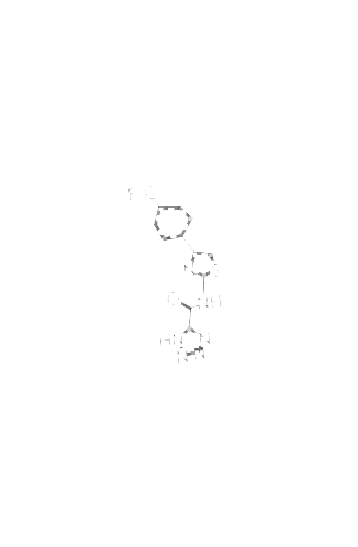 O=C(Nc1nc(-c2ccc(C(F)(F)F)cc2)cs1)c1nnn[nH]1